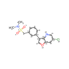 CN(C)S(=O)(=O)Cc1cccc(-c2coc3cc(Cl)cnc23)c1